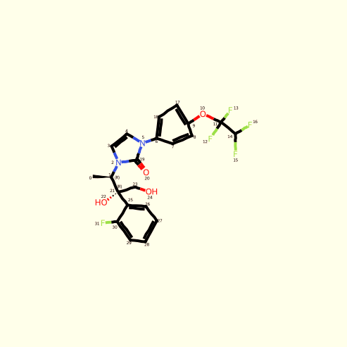 C[C@@H](n1ccn(-c2ccc(OC(F)(F)C(F)F)cc2)c1=O)[C@@](O)(CO)c1ccccc1F